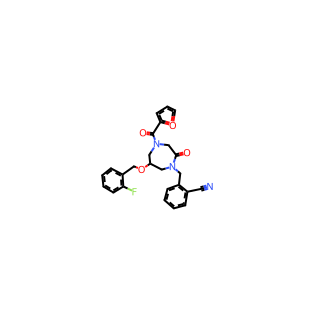 N#Cc1ccccc1CN1CC(OCc2ccccc2F)CN(C(=O)c2ccco2)CC1=O